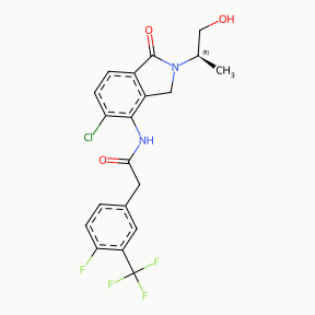 C[C@H](CO)N1Cc2c(ccc(Cl)c2NC(=O)Cc2ccc(F)c(C(F)(F)F)c2)C1=O